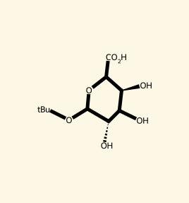 CC(C)(C)OC1OC(C(=O)O)[C@@H](O)C(O)[C@@H]1O